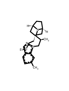 CCOCC[C@@H]1C[C@H]2CC[C@@H](C1)N2C[C@@H](C)Cn1ncc2ccc(C)cc21